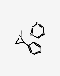 c1ccc(C2CN2)cc1.c1cncnc1